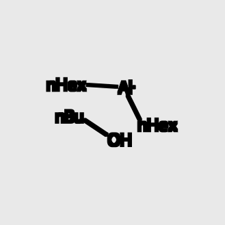 CCCCC[CH2][Al][CH2]CCCCC.CCCCO